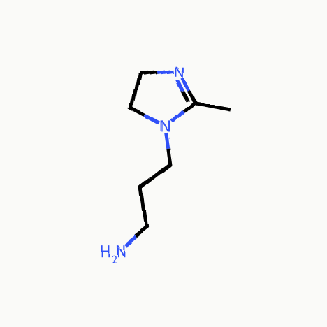 CC1=NCCN1CCCN